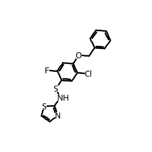 Fc1cc(OCc2ccccc2)c(Cl)cc1SNc1nccs1